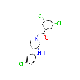 O=C(CN1CCc2c([nH]c3ccc(Cl)cc23)C1)c1cc(Cl)cc(Cl)c1